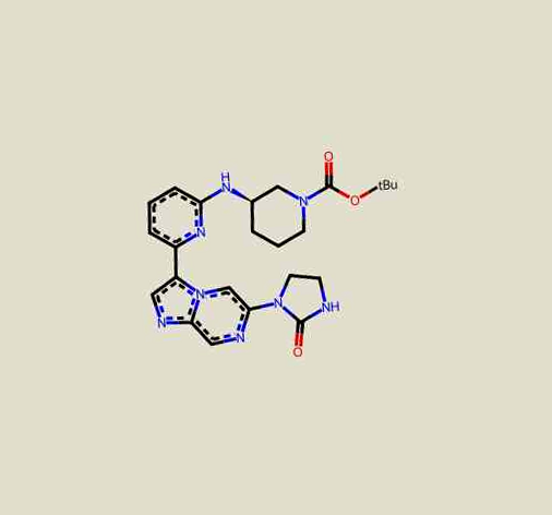 CC(C)(C)OC(=O)N1CCC[C@@H](Nc2cccc(-c3cnc4cnc(N5CCNC5=O)cn34)n2)C1